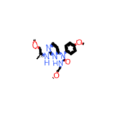 COCCNC(=O)N(c1ccc(OC)cc1)c1ccnc(N[C@@H](C)COC)n1